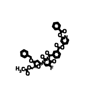 CC(=O)OC[C@H]1O[C@@H](n2cc(F)c(=O)n(C(=O)c3cccc(C(=O)Oc4ccnc(OC(=O)c5ccccc5)c4)c3)c2=O)C[C@@H]1OCc1ccccc1